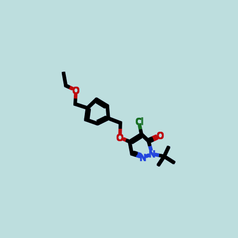 CCOCc1ccc(COc2cnn(C(C)(C)C)c(=O)c2Cl)cc1